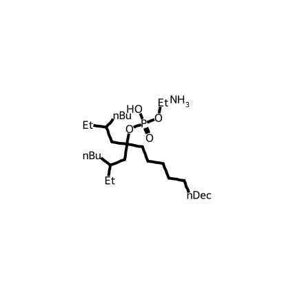 CCCCCCCCCCCCCCCC(CC(CC)CCCC)(CC(CC)CCCC)OP(=O)(O)OCC.N